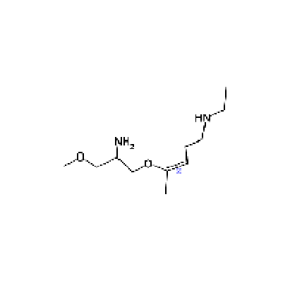 CCNCC/C=C(/C)OCC(N)COC